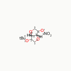 CC(C)(C)OC1CO[C@H]2C(O[N+](=O)[O-])CO[C@@H]12